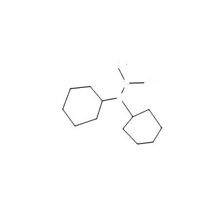 CCCCN(CCCC)P(C1CCCCC1)C1CCCCC1